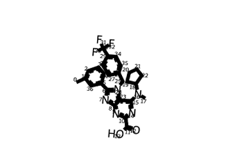 Cc1cccc(-c2nc3nc(C(=O)O)nc(N(C)C4CCCC4)c3n2Cc2ccc(C(F)(F)F)cc2)c1